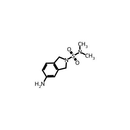 CN(C)S(=O)(=O)N1Cc2ccc(N)cc2C1